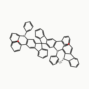 Cn1c2ccccc2c2cccc(N(c3ccccc3)c3cc4c(cc3-c3ccccc3)-c3ccccc3C43c4ccccc4-c4cc(-c5ccccc5)c(N(c5ccccc5)c5ccccc5)cc43)c21